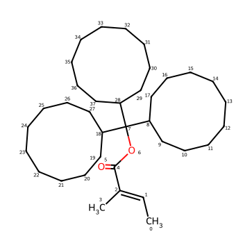 CC=C(C)C(=O)OC(C1CCCCCCCCC1)(C1CCCCCCCCC1)C1CCCCCCCCC1